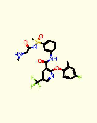 CNCC(=O)N=[S@](C)(=O)c1cccc(NC(=O)c2cc(C(F)(F)F)cnc2Oc2ccc(F)cc2C)c1